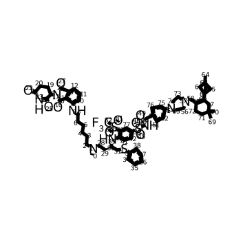 CN(CCCCCCNc1cccc2c1C(=O)N(C1CCC(=O)NC1=O)C2=O)CC[C@H](CSc1ccccc1)Nc1ccc(S(=O)(=O)NC(=O)c2ccc(N3CCN(CC4=C(C56CC(C)(C5)C6)CC(C)(C)CC4)CC3)cc2)cc1S(=O)(=O)C(F)(F)F